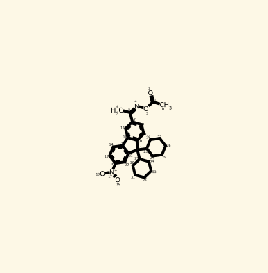 CC(=O)O/N=C(/C)c1ccc2c(c1)-c1ccc([N+](=O)[O-])cc1C2(C1CCCCC1)C1CCCCC1